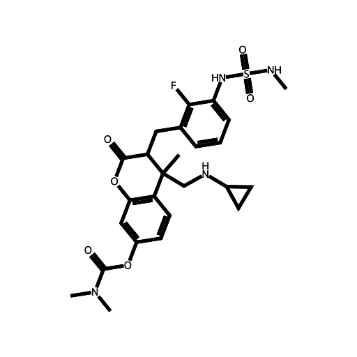 CNS(=O)(=O)Nc1cccc(CC2C(=O)Oc3cc(OC(=O)N(C)C)ccc3C2(C)CNC2CC2)c1F